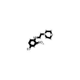 CCc1ccc(NCCN2CCOCC2)c([N+](=O)[O-])c1